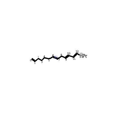 C=CCCCC/C=[C]/CC=CC=CCCC